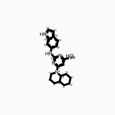 CCCc1cc(N2CCCC3CCCCC32)nc(Nc2ccc3cc[nH]c3c2)n1.Cl